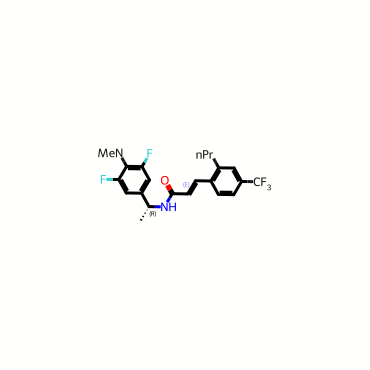 CCCc1cc(C(F)(F)F)ccc1/C=C/C(=O)N[C@H](C)c1cc(F)c(NC)c(F)c1